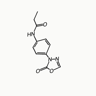 CCC(=O)Nc1ccc(-n2ncoc2=O)cc1